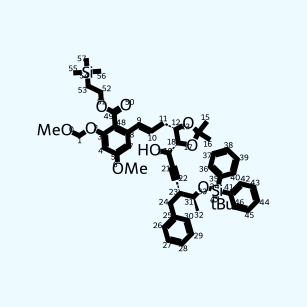 COCOc1cc(OC)cc(/C=C/C[C@@H]2OC(C)(C)O[C@@H]2C(O)C#C[C@@H](Cc2ccccc2)[C@H](C)O[Si](c2ccccc2)(c2ccccc2)C(C)(C)C)c1C(=O)OCC[Si](C)(C)C